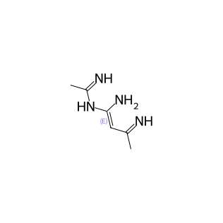 CC(=N)/C=C(\N)NC(C)=N